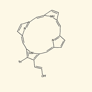 [2H]c1c(C=CO)c2cc3nc(cc4ccc(cc5nc(cc1[nH]2)C=C5)[nH]4)C=C3